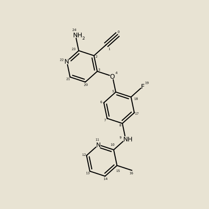 C#Cc1c(Oc2ccc(Nc3ncccc3C)cc2F)ccnc1N